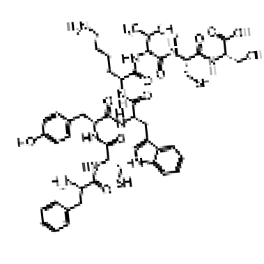 CC[C@H](NC(=O)[C@H](CS)NC(=O)[C@@H](NC(=O)[C@H](CCCCN)NC(=O)[C@@H](Cc1c[nH]c2ccccc12)NC(=O)[C@H](Cc1ccc(O)cc1)NC(=O)[C@H](CS)NC(=O)[C@H](N)Cc1ccccc1)C(C)C)C(=O)O